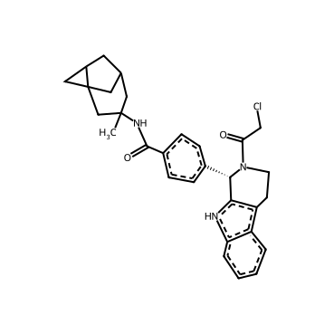 CC1(NC(=O)c2ccc([C@H]3c4[nH]c5ccccc5c4CCN3C(=O)CCl)cc2)CC2CC3CC3(C2)C1